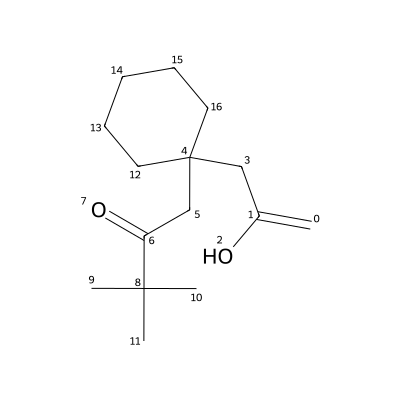 C=C(O)CC1(CC(=O)C(C)(C)C)CCCCC1